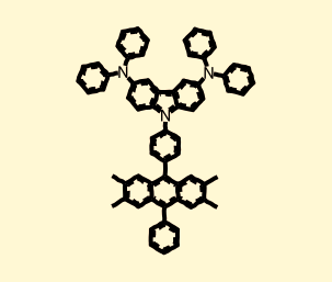 Cc1cc2c(-c3ccccc3)c3cc(C)c(C)cc3c(-c3ccc(-n4c5ccc(N(c6ccccc6)c6ccccc6)cc5c5cc(N(c6ccccc6)c6ccccc6)ccc54)cc3)c2cc1C